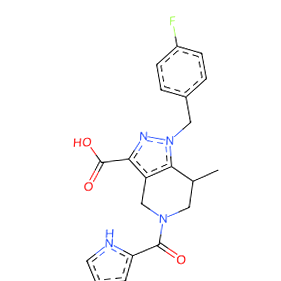 CC1CN(C(=O)c2ccc[nH]2)Cc2c(C(=O)O)nn(Cc3ccc(F)cc3)c21